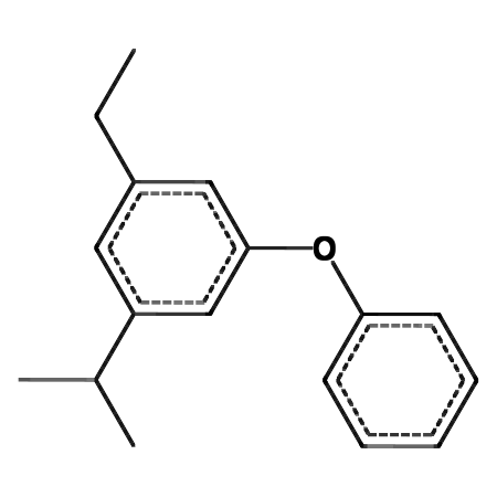 CCc1cc(Oc2ccccc2)cc(C(C)C)c1